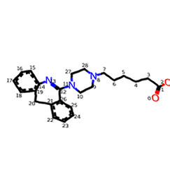 O=C(O)CCCCCN1CCN(C2=Nc3ccccc3Cc3ccccc32)CC1